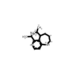 CC(C)c1nccc2c1C(C(C)C)CCCN2